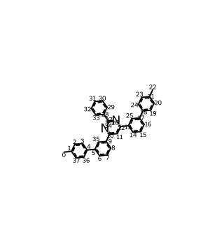 Cc1ccc(-c2cccc(-c3cc(-c4cccc(-c5ccc(C)cc5)c4)nc(-c4ccccc4)n3)c2)cc1